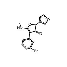 CNC1=C(c2cccc(Br)c2)C(=O)C(c2ccoc2)O1